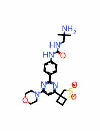 CC(C)(N)CNC(=O)Nc1ccc(-c2nc(N3CCOCC3)cc(C3(C[SH](=O)=O)CCC3)n2)cc1